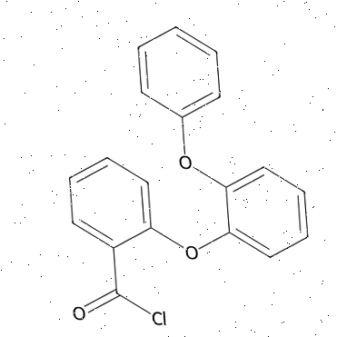 O=C(Cl)c1ccccc1Oc1ccccc1Oc1ccccc1